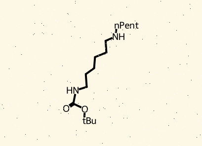 CCCCCNCCCCCCNC(=O)OC(C)(C)C